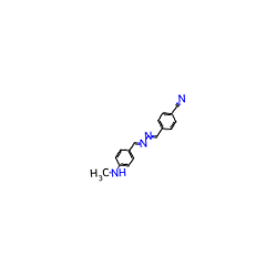 CNc1ccc(/C=N/N=C/c2ccc(C#N)cc2)cc1